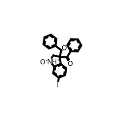 O=C(c1ccccc1)C1(C(=O)c2ccccc2)C[NH+]([O-])c2cc(I)ccc21